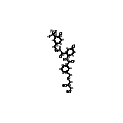 O=C(Nc1ccc(Cl)cc1C(=O)N/N=C\c1ccc(Cl)c(C(F)(F)F)c1)c1cccc(CSCC(O)CO)c1